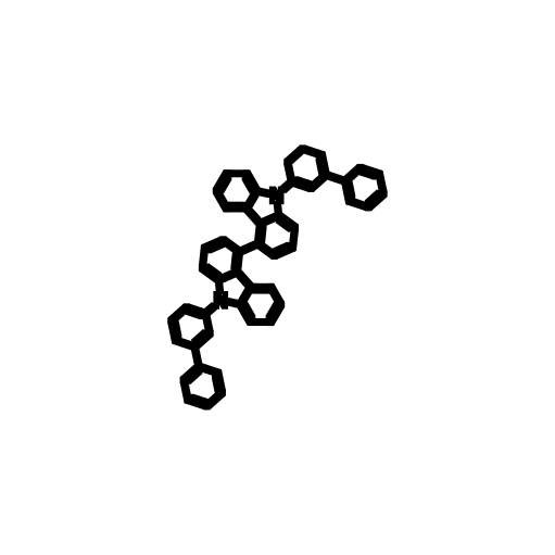 C1=C(c2ccccc2)C=C(n2c3ccccc3c3c(-c4cccc5c4c4ccccc4n5-c4cccc(-c5ccccc5)c4)cccc32)CC1